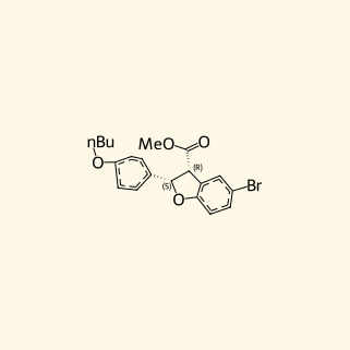 CCCCOc1ccc([C@H]2Oc3ccc(Br)cc3[C@H]2C(=O)OC)cc1